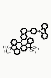 CC1(C)c2ccccc2-c2c(C(c3ccc4c(-c5ccc(-n6c7ccccc7c7ccccc76)cc5)cccc4c3)c3cccc4c3-c3ccccc3C4(C)C)cccc21